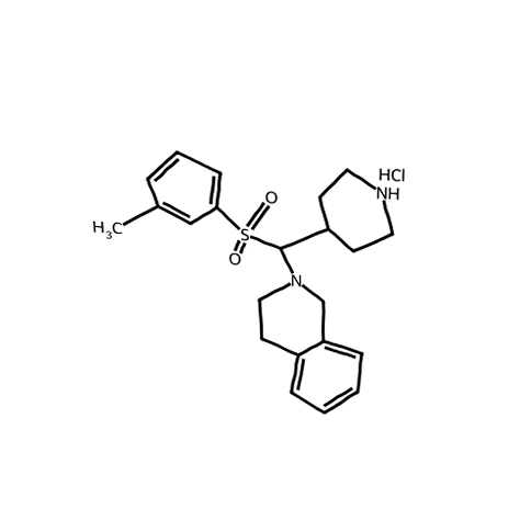 Cc1cccc(S(=O)(=O)C(C2CCNCC2)N2CCc3ccccc3C2)c1.Cl